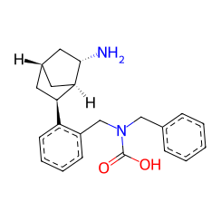 N[C@H]1C[C@@H]2C[C@@H]1[C@@H](c1ccccc1CN(Cc1ccccc1)C(=O)O)C2